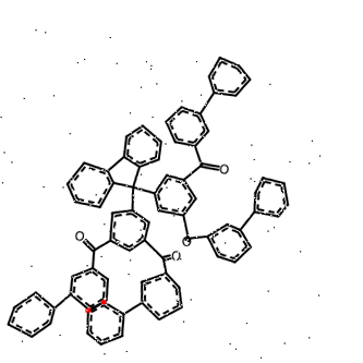 O=C(c1cccc(-c2ccccc2)c1)c1cc(C(=O)c2cccc(-c3ccccc3)c2)cc(C2(c3cc(C(=O)c4cccc(-c5ccccc5)c4)cc(C(=O)c4cccc(-c5ccccc5)c4)c3)c3ccccc3-c3ccccc32)c1